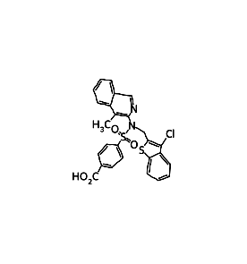 Cc1c(N(Cc2sc3ccccc3c2Cl)S(=O)(=O)c2ccc(C(=O)O)cc2)ncc2ccccc12